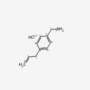 C=CCc1ccc(CN)cc1.Cl